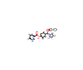 O=COC(C1CCC(OC(=O)c2ccccn2)CC1)N1CCCC1